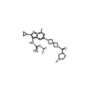 Cc1cc(N2CC3(CN(C(=O)C4CCN(C)C4)C3)C2)cc2c(N(C)C(=N)SC(C)F)c(C3CC3)nn12